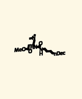 CCCCCCCCCCCCCCNC(=O)N[C@H](CC(=O)OC)CN(C)C